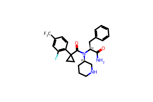 NC(=O)[C@H](Cc1ccccc1)N(C(=O)C1(c2ccc(C(F)(F)F)cc2F)CC1)[C@@H]1CCCNC1